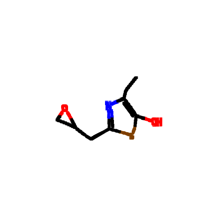 Cc1nc(CC2CO2)sc1O